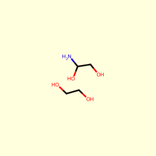 NC(O)CO.OCCO